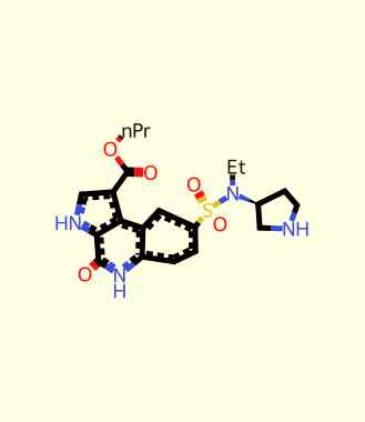 CCCOC(=O)c1c[nH]c2c(=O)[nH]c3ccc(S(=O)(=O)N(CC)[C@H]4CCNC4)cc3c12